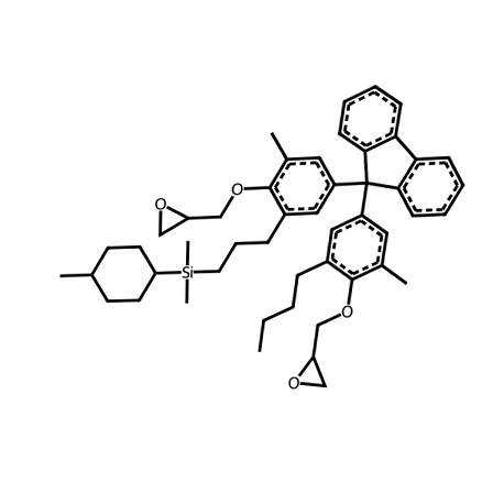 CCCCc1cc(C2(c3cc(C)c(OCC4CO4)c(CCC[Si](C)(C)C4CCC(C)CC4)c3)c3ccccc3-c3ccccc32)cc(C)c1OCC1CO1